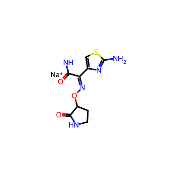 [NH-]C(=O)/C(=N\OC1CCNC1=O)c1csc(N)n1.[Na+]